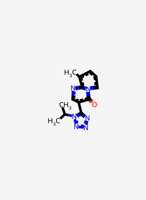 Cc1cccn2c(=O)c(-c3nnnn3C(C)C)cnc12